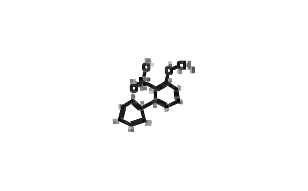 COc1cccc(-c2ccccc2)c1[N+](=O)[O-]